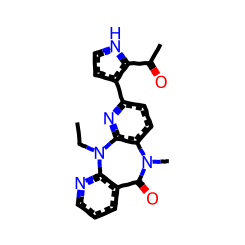 CCN1c2ncccc2C(=O)N(C)c2ccc(-c3cc[nH]c3C(C)=O)nc21